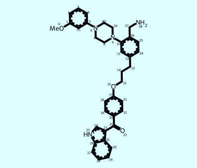 COc1cccc(N2CCN(c3cc(CCCOc4ccc(C(=O)c5c[nH]c6ccccc56)cc4)ccc3CN)CC2)c1